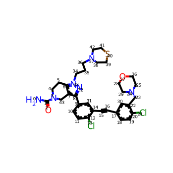 NC(=O)N1CCc2c(c(-c3ccc(Cl)c(C#Cc4ccc(Cl)c(CN5CCOCC5)c4)c3)nn2CCCN2CCSCC2)C1